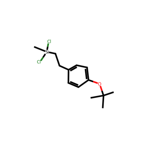 CC(C)(C)Oc1ccc(CC[Si](C)(Cl)Cl)cc1